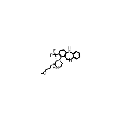 COCCC[C@H]1CN(c2c(C(F)(F)F)ccc3c2C=Nc2ccccc2N3)CCN1